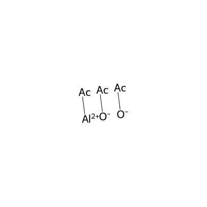 CC(=O)[O-].CC(=O)[O-].C[C](=O)[Al+2]